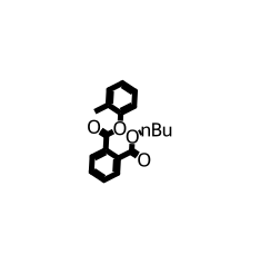 CCCCOC(=O)c1ccccc1C(=O)Oc1ccccc1C